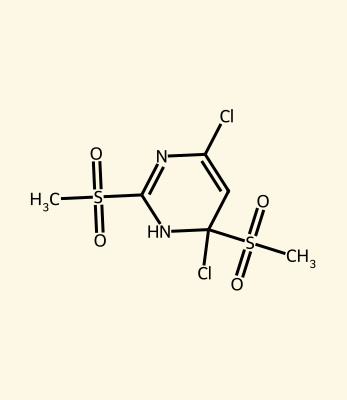 CS(=O)(=O)C1=NC(Cl)=CC(Cl)(S(C)(=O)=O)N1